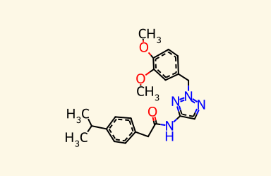 COc1ccc(Cn2ncc(NC(=O)Cc3ccc(C(C)C)cc3)n2)cc1OC